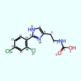 O=C(O)NCCc1c[nH]c(-c2ccc(Cl)cc2Cl)n1